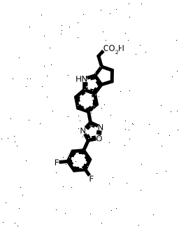 O=C(O)CC1CCc2c1[nH]c1ccc(-c3noc(-c4cc(F)cc(F)c4)n3)cc21